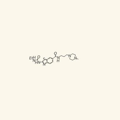 CCNC(=O)Nc1nc2ccc(C(=O)NCCCN3CCN(C)CC3)cc2s1